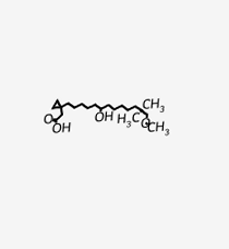 COCC(C)(C)CCCCCC(O)CCCCCC1(CC(=O)O)CC1